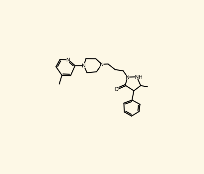 Cc1ccnc(N2CCN(CCCN3NC(C)C(c4ccccc4)C3=O)CC2)c1